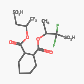 CC(OC(=O)C1CCCCC1C(=O)OC(CS(=O)(=O)O)C(F)(F)F)C(F)(F)S(=O)(=O)O